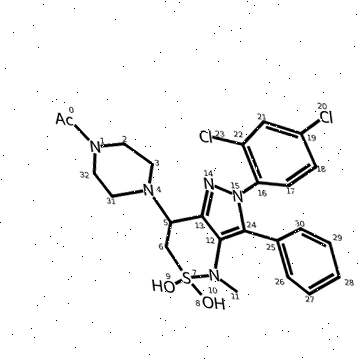 CC(=O)N1CCN(C2CS(O)(O)N(C)c3c2nn(-c2ccc(Cl)cc2Cl)c3-c2ccccc2)CC1